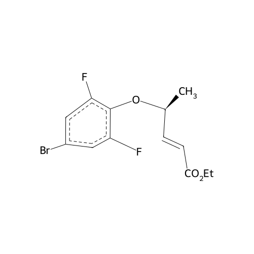 CCOC(=O)/C=C/[C@H](C)Oc1c(F)cc(Br)cc1F